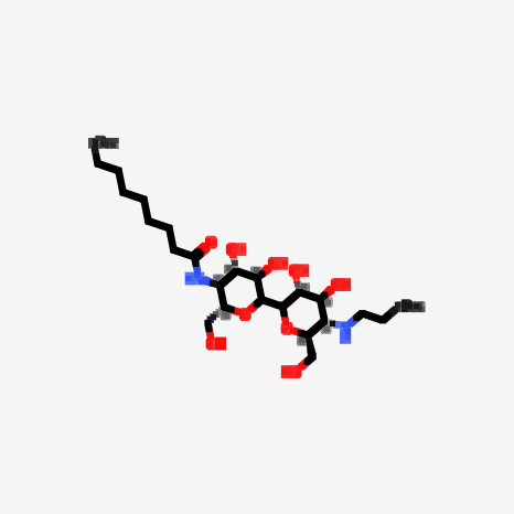 CCCCCCCCCCCCCCCCCC(=O)N[C@H]1[C@H](O)[C@@H](O)C([C]2O[C@H](CO)[C@@H](NCCCCCCCCCCCC)[C@H](O)[C@H]2O)O[C@@H]1CO